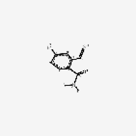 CN(C)C(=O)c1ccc(Br)cc1C=S